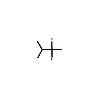 CC(C)C(C)(F)F